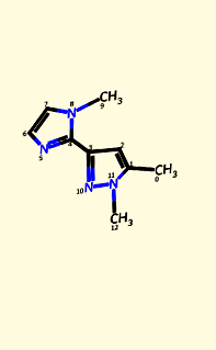 Cc1cc(-c2nccn2C)nn1C